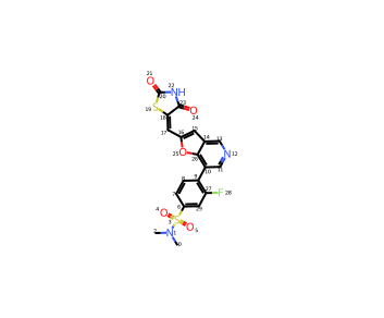 CN(C)S(=O)(=O)c1ccc(-c2cncc3cc(C=C4SC(=O)NC4=O)oc23)c(F)c1